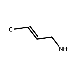 [NH]C/C=C/Cl